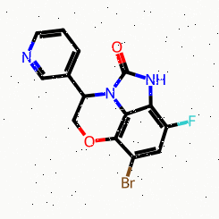 O=c1[nH]c2c(F)cc(Br)c3c2n1C(c1cccnc1)CO3